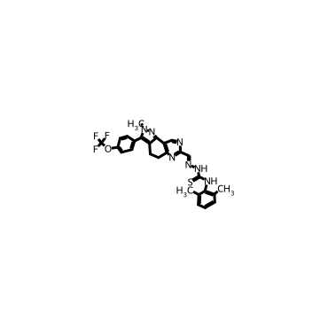 Cc1cccc(C)c1NC(=S)NN=Cc1ncc2c(n1)CCc1c-2nn(C)c1-c1ccc(OC(F)(F)F)cc1